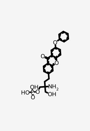 NC(CO)(CCc1ccc2c(=O)c3cc(Oc4ccccc4)ccc3oc2c1)COP(=O)(O)O